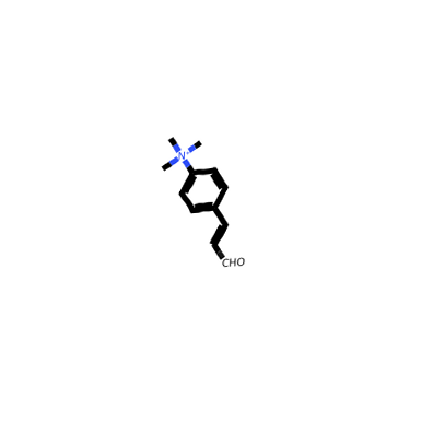 C[N+](C)(C)c1ccc(C=CC=O)cc1